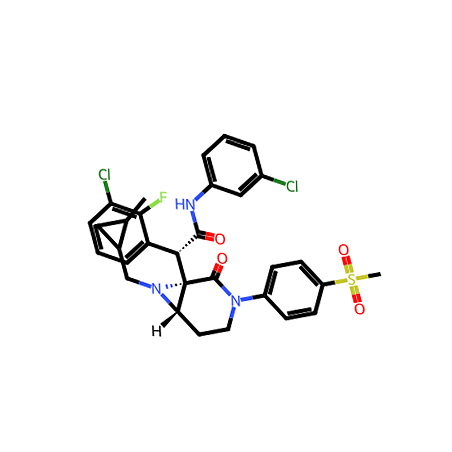 CC1CC1CN1[C@H]2CCN(c3ccc(S(C)(=O)=O)cc3)C(=O)[C@]21[C@@H](C(=O)Nc1cccc(Cl)c1)c1cccc(Cl)c1F